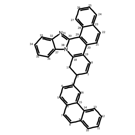 C1=CC(c2ccc3ccc4ccccc4c3c2)Cc2c1c1ccc3ccccc3c1c1nc3ccccc3n21